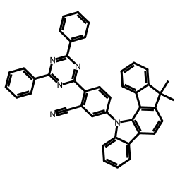 CC1(C)c2ccccc2-c2c1ccc1c3ccccc3n(-c3ccc(-c4nc(-c5ccccc5)nc(-c5ccccc5)n4)c(C#N)c3)c21